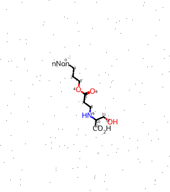 CCCCCCCCCCCCOC(=O)CCNC(CO)C(=O)O